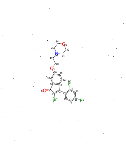 O=C1C(Br)=C(c2ccc(F)cc2F)c2ccc(OCCN3CCOCC3)cc21